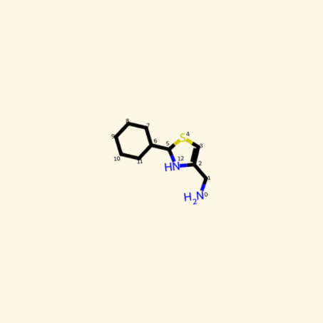 NCC1=CSC(C2CCCCC2)N1